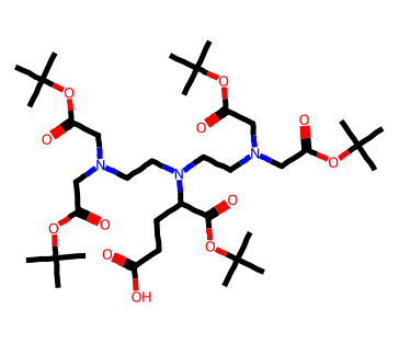 CC(C)(C)OC(=O)CN(CCN(CCN(CC(=O)OC(C)(C)C)CC(=O)OC(C)(C)C)C(CCC(=O)O)C(=O)OC(C)(C)C)CC(=O)OC(C)(C)C